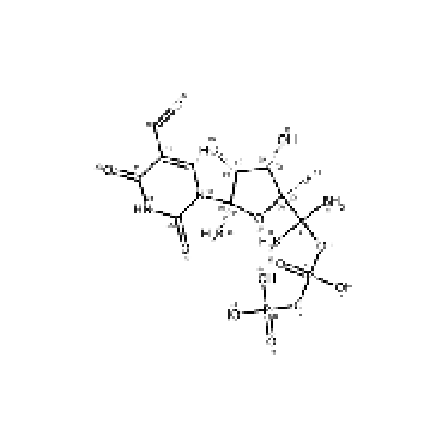 BC(B)(OP(=O)(O)OP(=O)(O)O)[C@@]1(F)O[C@@](B)(n2cc(C=O)c(=O)[nH]c2=O)[C@H](O)[C@@H]1O